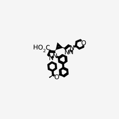 C[C@H](Oc1cccc(-c2cccc(-n3ncc(C(=O)O)c3[C@@H]3C[C@H]3c3cn(C4CCOCC4)nn3)c2)c1)C1CCCCC1